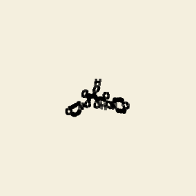 O=C(ON1CCOCC1)C(O)C(O)C(=O)ON1CCOCC1